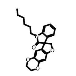 CCCCCCN1C(=O)C2(COc3cc4c(cc32)OCCO4)c2ccccc21